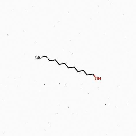 CC(C)(C)CCCCCCCCCCCO